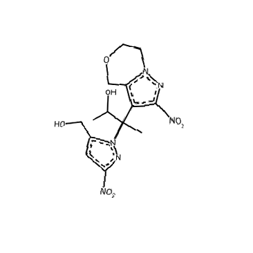 CC(O)C(C)(c1c([N+](=O)[O-])nn2c1COCC2)n1nc([N+](=O)[O-])cc1CO